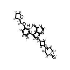 Nc1ncnc2c1c(-c1cc(OCC3CCCO3)ccc1F)cn2C1CC(N2CC[S+]([O-])CC2)C1